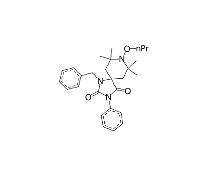 CCCON1C(C)(C)CC2(CC1(C)C)C(=O)N(c1ccccc1)C(=O)N2Cc1ccccc1